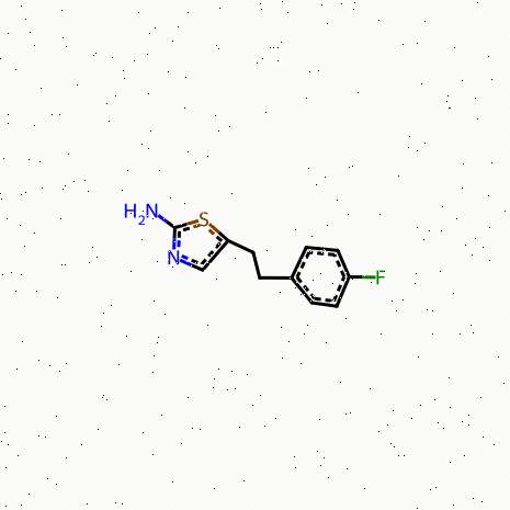 Nc1ncc(CCc2ccc(F)cc2)s1